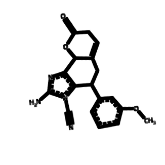 COc1cccc(C2CC3=CCC(=O)OC3c3nc(N)n(C#N)c32)c1